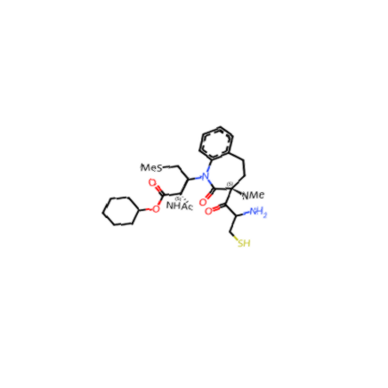 CN[C@]1(C(=O)C(N)CS)CCc2ccccc2N(C(CSC)[C@H](NC(C)=O)C(=O)OC2CCCCC2)C1=O